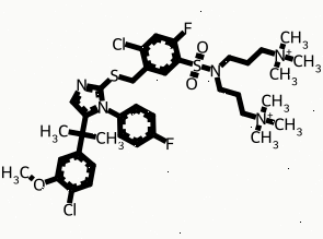 COc1cc(C(C)(C)c2cnc(SCc3cc(S(=O)(=O)N(CCC[N+](C)(C)C)CCC[N+](C)(C)C)c(F)cc3Cl)n2-c2ccc(F)cc2)ccc1Cl